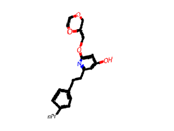 CCCc1ccc(CCc2cc(O)cc(OCC3COCCO3)n2)cc1